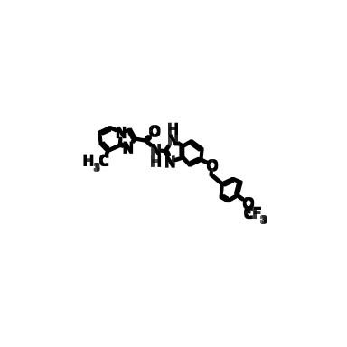 Cc1cccn2cc(C(=O)Nc3nc4cc(OCc5ccc(OC(F)(F)F)cc5)ccc4[nH]3)nc12